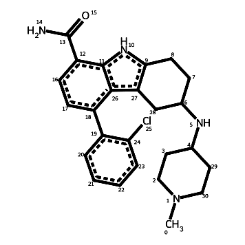 CN1CCC(NC2CCc3[nH]c4c(C(N)=O)ccc(-c5ccccc5Cl)c4c3C2)CC1